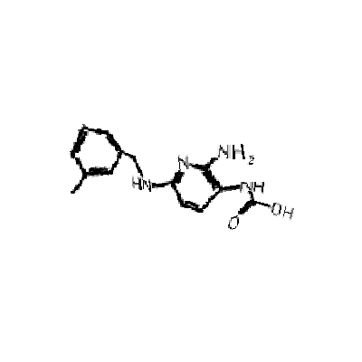 Cc1cccc(CNc2ccc(NC(=O)O)c(N)n2)c1